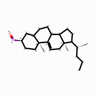 CCC[C@@H](C)C1CCC2C3CCC4C[C@H](P=O)CC[C@]4(C)C3=CC[C@@]21C